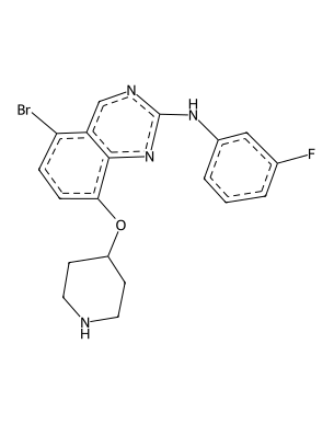 Fc1cccc(Nc2ncc3c(Br)ccc(OC4CCNCC4)c3n2)c1